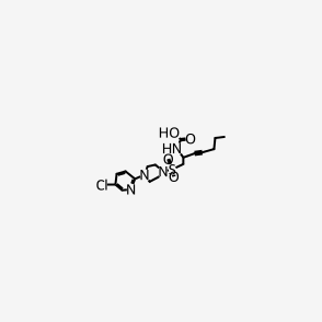 CCCC#CC(CS(=O)(=O)N1CCN(c2ccc(Cl)cn2)CC1)NC(=O)O